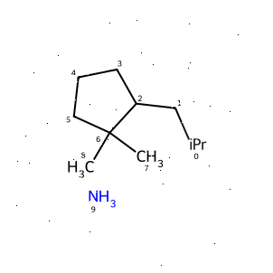 CC(C)CC1CCCC1(C)C.N